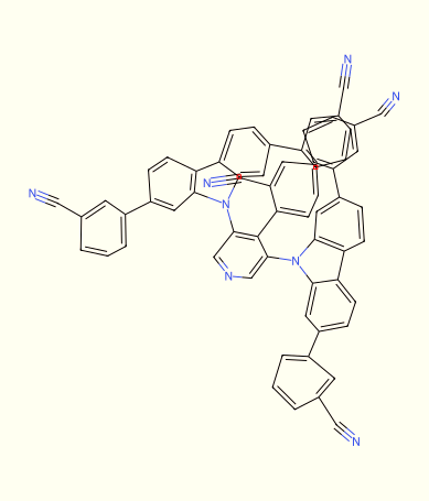 N#Cc1cccc(-c2ccc3c4ccc(-c5cccc(C#N)c5)cc4n(-c4cncc(-n5c6cc(-c7cccc(C#N)c7)ccc6c6ccc(-c7cccc(C#N)c7)cc65)c4-c4ccccc4C#N)c3c2)c1